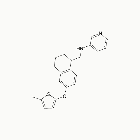 Cc1ccc(Oc2ccc3c(c2)CCCC3CNc2cccnc2)s1